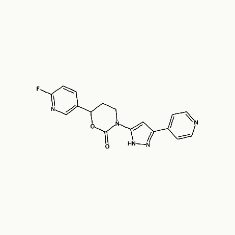 O=C1OC(c2ccc(F)nc2)CCN1c1cc(-c2ccncc2)n[nH]1